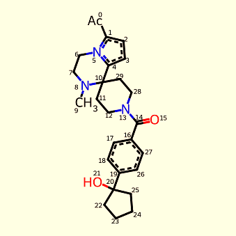 CC(=O)c1ccc2n1CCN(C)C21CCN(C(=O)c2ccc(C3(O)CCCC3)cc2)CC1